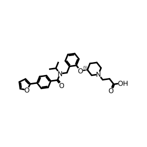 CC(C)N(Cc1ccccc1O[C@H]1CCCN(CCC(=O)O)C1)C(=O)c1ccc(-c2ccco2)cc1